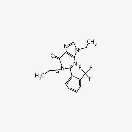 CCSn1c(-c2ccccc2C(F)(F)F)nc2c(ncn2CC)c1=O